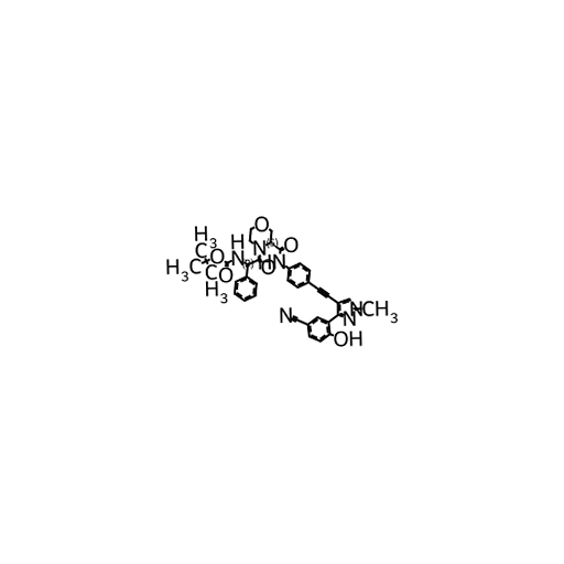 Cn1cc(C#Cc2ccc(NC(=O)[C@@H]3COCCN3C(=O)[C@H](NC(=O)OC(C)(C)C)c3ccccc3)cc2)c(-c2cc(C#N)ccc2O)n1